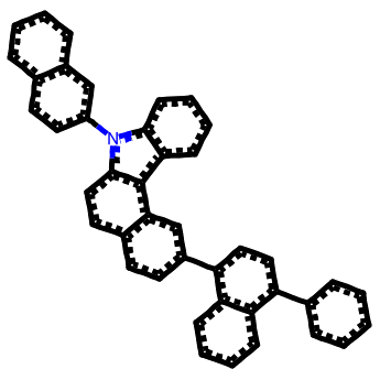 c1ccc(-c2ccc(-c3ccc4ccc5c(c4c3)c3ccccc3n5-c3ccc4ccccc4c3)c3ccccc23)cc1